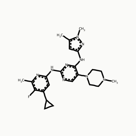 Cc1nc(Nc2ncc(N3CCN(C)CC3)c(Nc3cc(C)n(C)n3)n2)cc(C2CC2)c1F